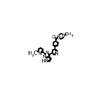 Cc1cccc(-c2nc(-c3cncc(-c4ccc(C(=O)N5CCN(C)CC5)cc4)c3)c3cc[nH]c3n2)n1